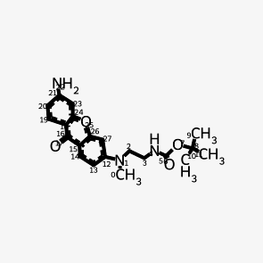 CN(CCNC(=O)OC(C)(C)C)c1ccc2c(=O)c3ccc(N)cc3oc2c1